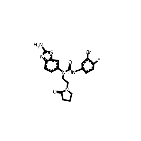 Nc1nc2ccc(N(CCN3CCCC3=O)C(=O)Nc3ccc(F)c(Br)c3)cc2s1